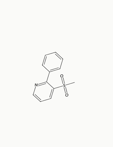 CS(=O)(=O)c1cccnc1-c1ccccc1